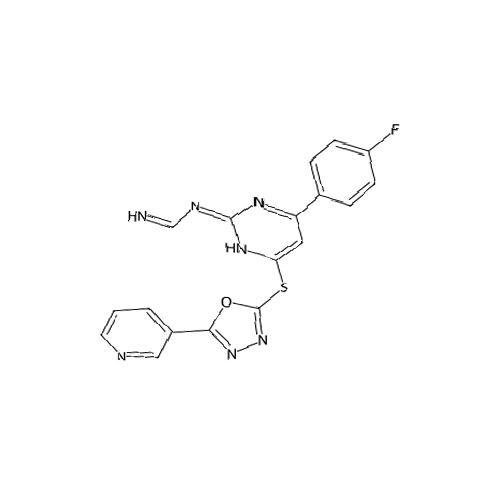 N=C/N=c1/nc(-c2ccc(F)cc2)cc(Sc2nnc(-c3cccnc3)o2)[nH]1